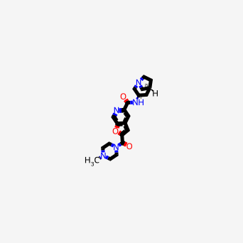 CN1CCN(C(=O)c2cc3cc(C(=O)N[C@@H]4C[C@@H]5CCN(C5)C4)ncc3o2)CC1